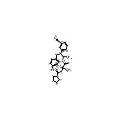 CC(NC(=O)C(C)(C)OC(=O)C1CCCC1)C(Cc1ccc(Cl)cc1)c1cccc(C#N)c1